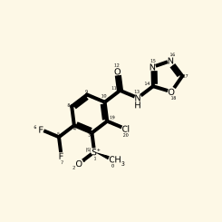 C[S@@+]([O-])c1c(C(F)F)ccc(C(=O)Nc2nnco2)c1Cl